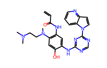 C=CC(=O)Nc1cc(Nc2ncnc(-n3ccc4ncccc43)n2)c(O)cc1N(C)CCN(C)C